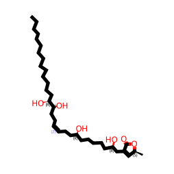 CCCCCCCCCCCCCC[C@@H](O)[C@H](O)CC/C=C\CC[C@H](O)CCCCC[C@@H](O)CC1=C[C@H](C)OC1=O